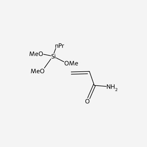 C=CC(N)=O.CCC[Si](OC)(OC)OC